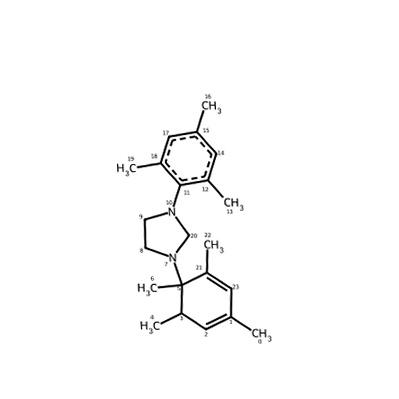 CC1=CC(C)C(C)(N2CCN(c3c(C)cc(C)cc3C)C2)C(C)=C1